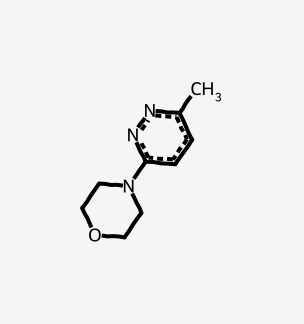 Cc1ccc(N2CCOCC2)nn1